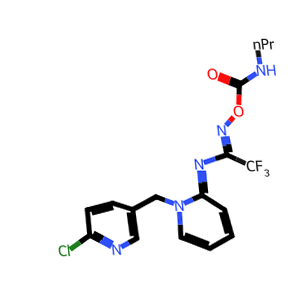 CCCNC(=O)O/N=C(/N=c1\ccccn1Cc1ccc(Cl)nc1)C(F)(F)F